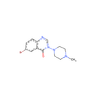 CN1CCN(n2cnc3ccc(Br)cc3c2=O)CC1